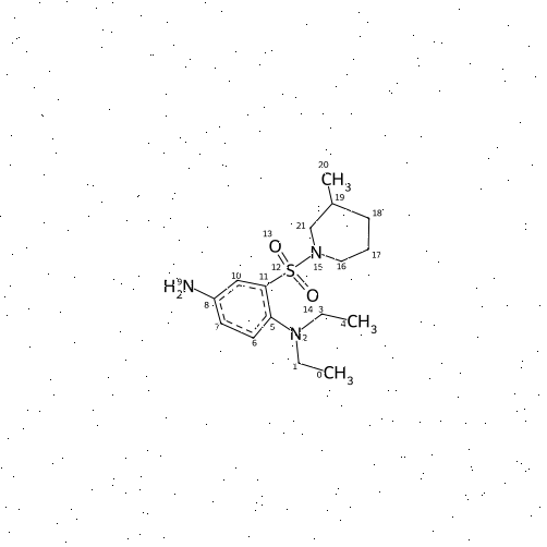 CCN(CC)c1ccc(N)cc1S(=O)(=O)N1CCCC(C)C1